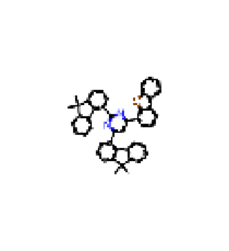 CC1(C)c2ccccc2-c2c(-c3cc(-c4cccc5c4sc4ccccc45)nc(-c4cccc5c4-c4ccccc4C5(C)C)n3)cccc21